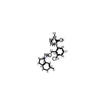 CC1=CC2=C(CC1)CC/C2=N/OCc1c(Cl)cccc1-n1nnn(C)c1=O